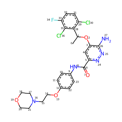 CC(Oc1cc(C(=O)Nc2ccc(OCCN3CCOCC3)cc2)nnc1N)c1c(Cl)ccc(F)c1Cl